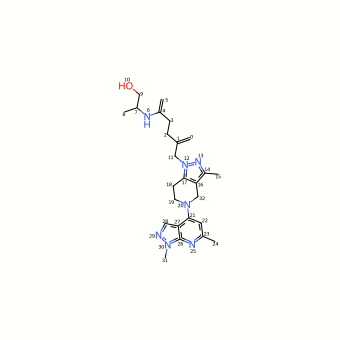 C=C(CCC(=C)NC(C)CO)Cn1nc(C)c2c1CCN(c1cc(C)nc3c1cnn3C)C2